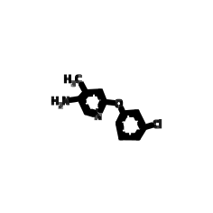 Cc1cc(Oc2cccc(Cl)c2)ncc1N